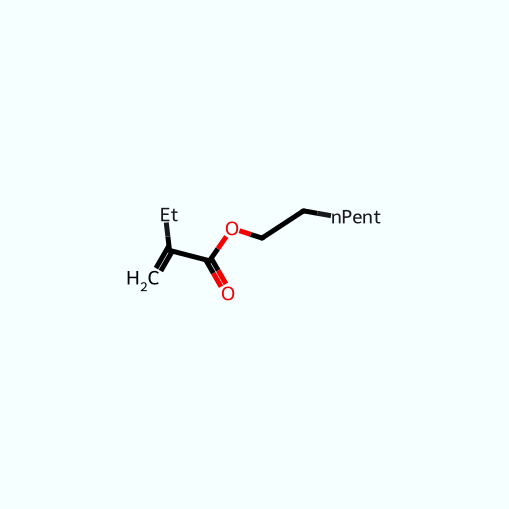 C=C(CC)C(=O)OCCCCCCC